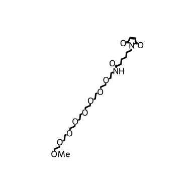 COCCOCCOCCOCCOCCOCCOCCOCCNC(=O)CCCCCN1C(=O)C=CC1=O